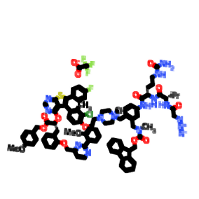 COc1ccc(COC(=O)[C@@H](Cc2ccccc2OCc2ccnc(-c3ccccc3OC)n2)Oc2ncnc3sc(-c4ccc(F)cc4)c(-c4ccc(OCCN5CC[N+](C)(Cc6ccc(NC(=O)[C@H](CCCNC(N)=O)NC(=O)[C@@H](NC(=O)CN=[N+]=[N-])C(C)C)cc6CN(C)C(=O)OCC6c7ccccc7-c7ccccc76)CC5)c(Cl)c4C)c23)cc1.O=C([O-])C(F)(F)F